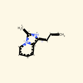 C=C/C=c1\[nH]c(=C)[n+]2ccccc12